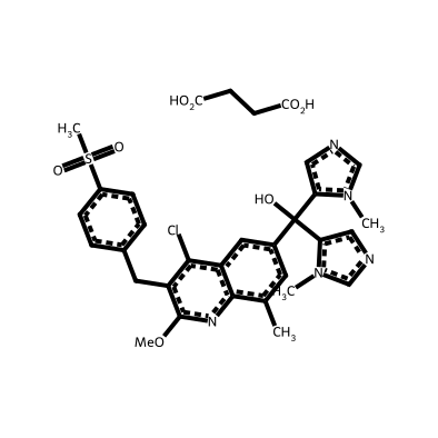 COc1nc2c(C)cc(C(O)(c3cncn3C)c3cncn3C)cc2c(Cl)c1Cc1ccc(S(C)(=O)=O)cc1.O=C(O)CCC(=O)O